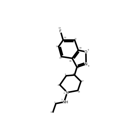 CCNN1CCC(c2noc3cc(F)ccc23)CC1